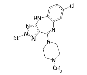 CCn1nc2c(n1)C(N1CCN(C)CC1)=Nc1cc(Cl)ccc1N2